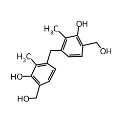 Cc1c(Cc2ccc(CO)c(O)c2C)ccc(CO)c1O